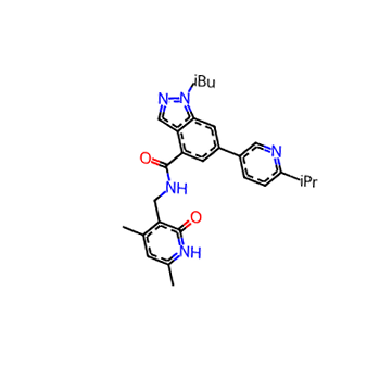 CCC(C)n1ncc2c(C(=O)NCc3c(C)cc(C)[nH]c3=O)cc(-c3ccc(C(C)C)nc3)cc21